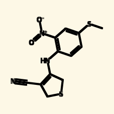 CSc1ccc(NC2=C(C#N)CSC2)c([N+](=O)[O-])c1